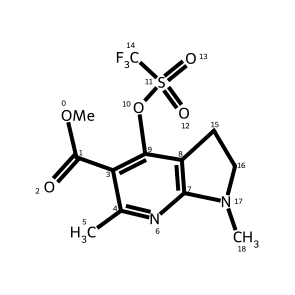 COC(=O)c1c(C)nc2c(c1OS(=O)(=O)C(F)(F)F)CCN2C